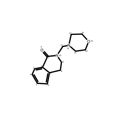 O=C1c2ccccc2CCN1CN1CCOCC1